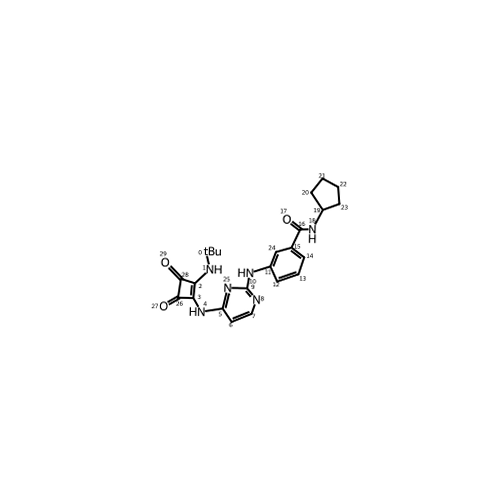 CC(C)(C)Nc1c(Nc2ccnc(Nc3cccc(C(=O)NC4CCCC4)c3)n2)c(=O)c1=O